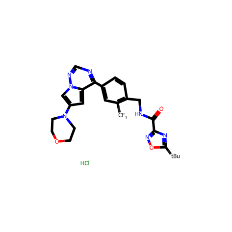 CC(C)(C)c1nc(C(=O)NCc2ccc(-c3ncnn4cc(N5CCOCC5)cc34)cc2C(F)(F)F)no1.Cl